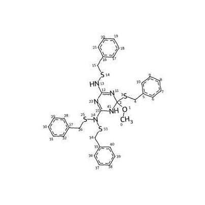 COC1(SCc2ccccc2)N=C(NSCc2ccccc2)N=C(N(SCc2ccccc2)SCc2ccccc2)N1